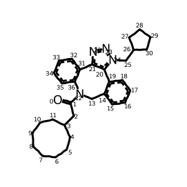 O=C(CC1CCCCCCCC1)N1Cc2ccccc2-c2c(nnn2CC2CCCC2)-c2ccccc21